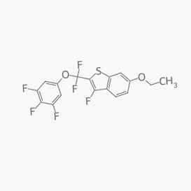 CCOc1ccc2c(F)c(C(F)(F)Oc3cc(F)c(F)c(F)c3)sc2c1